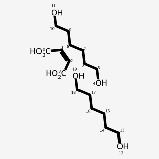 O=C(O)/C=C\C(=O)O.OCCCCCCO.OCCCCCCO